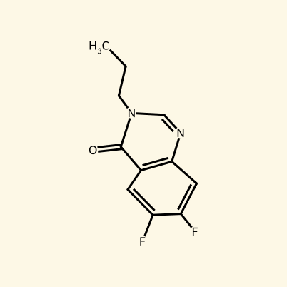 CCCn1cnc2cc(F)c(F)cc2c1=O